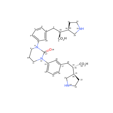 O=C(O)[C@@H](Cc1cccc(N2CCCN(c3cccc(C[C@H](C(=O)O)[C@H]4CCNC4)c3)C2=O)c1)[C@H]1CCNC1